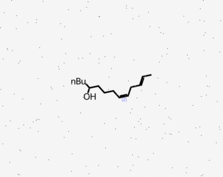 CC=CC/C=C\CCCC(O)CCCC